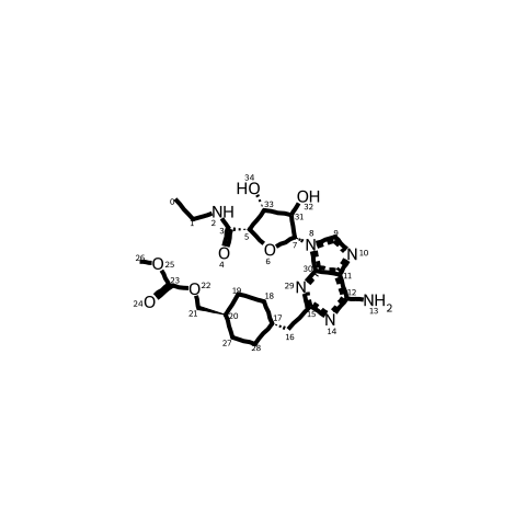 CCNC(=O)[C@H]1O[C@@H](n2cnc3c(N)nc(C[C@H]4CC[C@H](COC(=O)OC)CC4)nc32)C(O)[C@H]1O